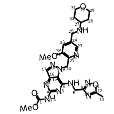 COC(=O)Nc1nc(NCc2noc(C)n2)c2c(cnn2Cc2ncc(CNC3CCOCC3)cc2OC)n1